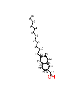 CCCCCCCCCCCCc1ccc2cc(CO)ccc2c1